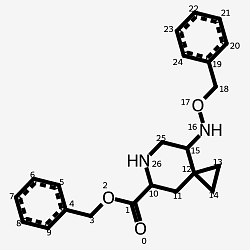 O=C(OCc1ccccc1)C1CC2(CC2)C(NOCc2ccccc2)CN1